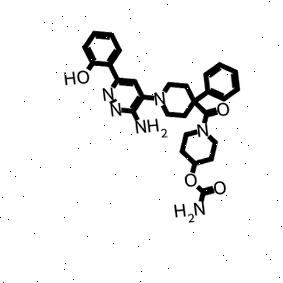 NC(=O)OC1CCN(C(=O)C2(c3ccccc3)CCN(c3cc(-c4ccccc4O)nnc3N)CC2)CC1